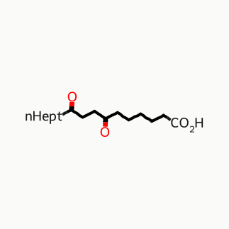 CCCCCCCC(=O)CCC(=O)CCCCCC(=O)O